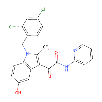 O=C(Nc1ccccn1)C(=O)c1c(C(F)(F)F)n(Cc2ccc(Cl)cc2Cl)c2ccc(O)cc12